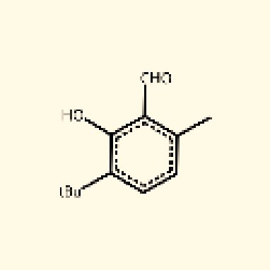 Cc1ccc(C(C)(C)C)c(O)c1C=O